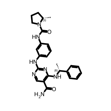 C[C@@H](Nc1nc(Nc2cccc(NC(=O)N3CCC[C@@H]3C)c2)ncc1C(N)=O)c1ccccc1